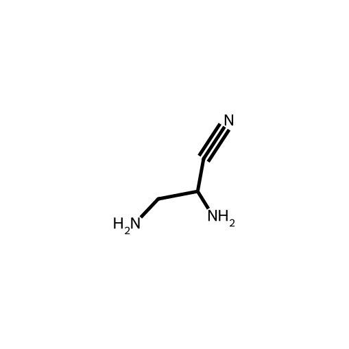 N#CC(N)CN